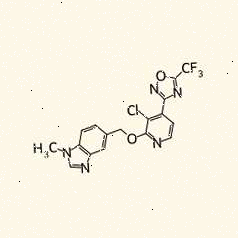 Cn1cnc2cc(COc3nccc(-c4noc(C(F)(F)F)n4)c3Cl)ccc21